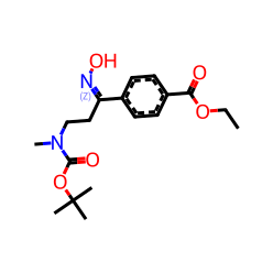 CCOC(=O)c1ccc(/C(CCN(C)C(=O)OC(C)(C)C)=N\O)cc1